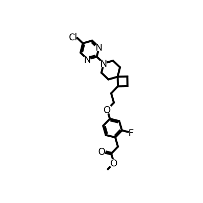 COC(=O)Cc1ccc(OCCC2CCC23CCN(c2ncc(Cl)cn2)CC3)cc1F